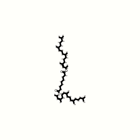 CC(=CC(C)OC(=O)CCCCCCCC(=O)OC(C)C=C(C)CCCC(C)CCCC(C)CCCC(C)C)CCCC(C)CCCC(C)CCCC(C)C